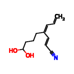 C=CC=C(C=CC#N)CCCC(O)O